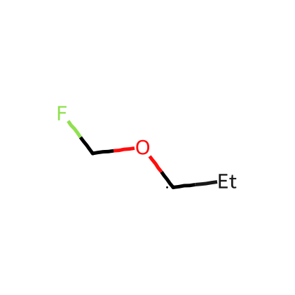 CC[CH]OCF